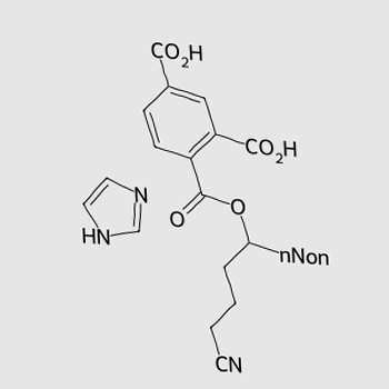 CCCCCCCCCC(CCCC#N)OC(=O)c1ccc(C(=O)O)cc1C(=O)O.c1c[nH]cn1